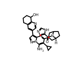 Nc1c(C2CC2)c(C2CC3CC[C@H](C2)N3C(=O)c2nnc[nH]2)nc2c(-c3cnc4c(c3)CCCC4O)cnn12